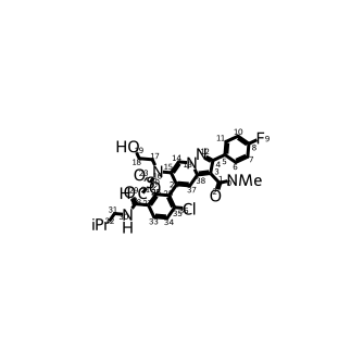 CNC(=O)c1c(-c2ccc(F)cc2)nn2cc(N(CCO)S(C)(=O)=O)c(-c3cc(C(=O)NCC(C)C)ccc3Cl)cc12